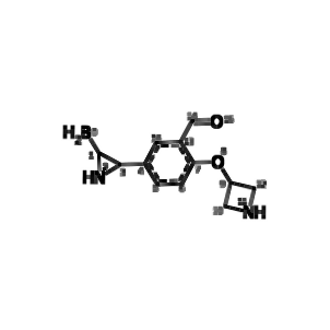 BC1NC1c1ccc(OC2CNC2)c(C=O)c1